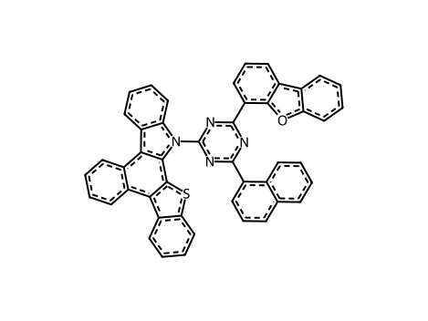 c1ccc2c(-c3nc(-c4cccc5c4oc4ccccc45)nc(-n4c5ccccc5c5c6ccccc6c6c7ccccc7sc6c54)n3)cccc2c1